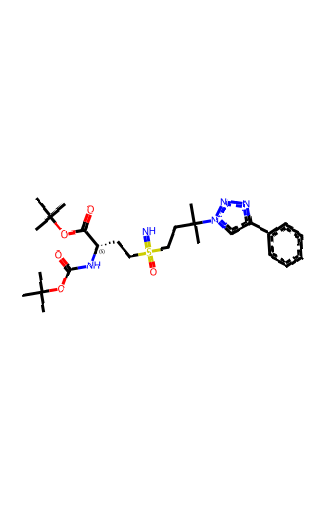 CC(C)(C)OC(=O)N[C@@H](CCS(=N)(=O)CCC(C)(C)n1cc(-c2ccccc2)nn1)C(=O)OC(C)(C)C